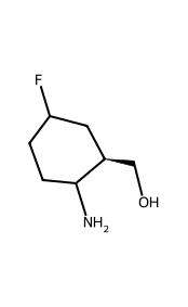 NC1CCC(F)C[C@H]1CO